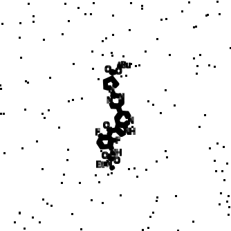 CCN(C)S(=O)(=O)Nc1ccc(F)c(C(=O)c2c[nH]c3ncc(-c4cnc(N5CC[C@H](C(=O)OC(C)(C)C)C5)nc4)cc23)c1F